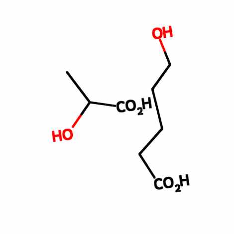 CC(O)C(=O)O.O=C(O)CCCCO